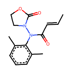 CC=CC(=O)N(c1c(C)cccc1C)N1CCOC1=O